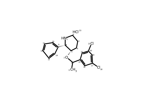 CC(O[C@H]1CCCN[C@H]1c1ccccc1)c1cc(Cl)cc(Cl)c1.Cl